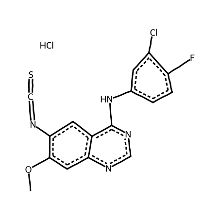 COc1cc2ncnc(Nc3ccc(F)c(Cl)c3)c2cc1N=C=S.Cl